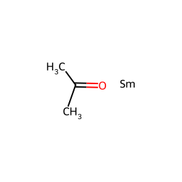 CC(C)=O.[Sm]